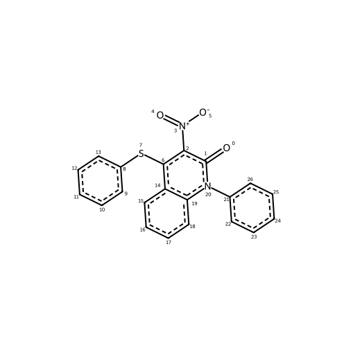 O=c1c([N+](=O)[O-])c(Sc2ccccc2)c2ccccc2n1-c1ccccc1